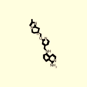 Cc1cn2c(n1)C[C@@H](COc1cc(CNc3cccc4c(N)nccc34)ccn1)CC2